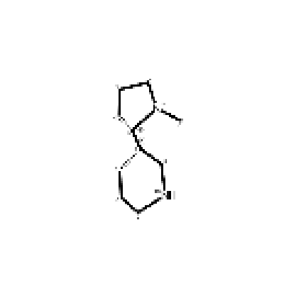 CN1CCC[C@H]1[C@H]1CCCNC1